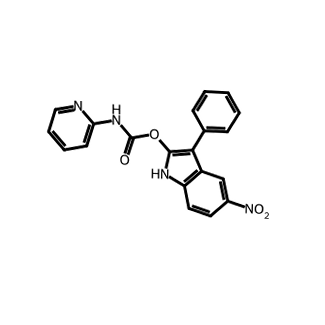 O=C(Nc1ccccn1)Oc1[nH]c2ccc([N+](=O)[O-])cc2c1-c1ccccc1